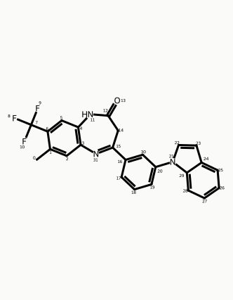 Cc1cc2c(cc1C(F)(F)F)NC(=O)CC(c1cccc(-n3ccc4ccccc43)c1)=N2